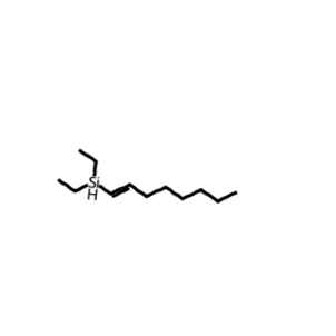 CCCCCCC=C[SiH](CC)CC